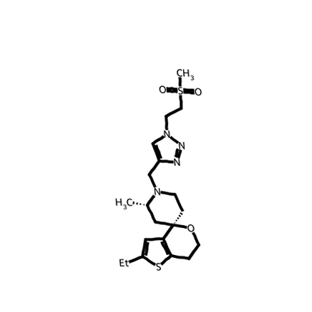 CCc1cc2c(s1)CCO[C@@]21CCN(Cc2cn(CCS(C)(=O)=O)nn2)[C@@H](C)C1